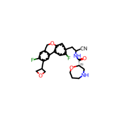 N#CC(Cc1cc2c(cc1F)-c1cc(C3COC3)c(F)cc1CO2)NC(=O)[C@@H]1CNCCCO1